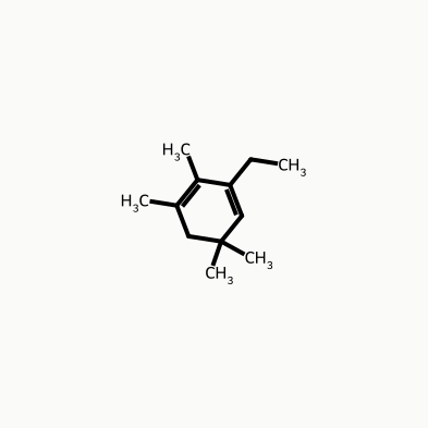 CCC1=CC(C)(C)CC(C)=C1C